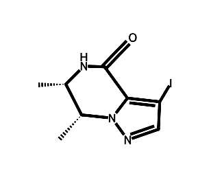 C[C@@H]1NC(=O)c2c(I)cnn2[C@@H]1C